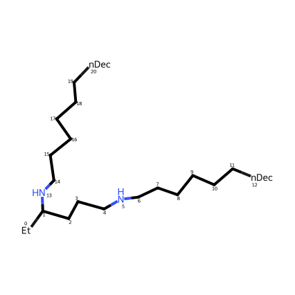 [CH2]CC(CCCNCCCCCCCCCCCCCCCC)NCCCCCCCCCCCCCCCC